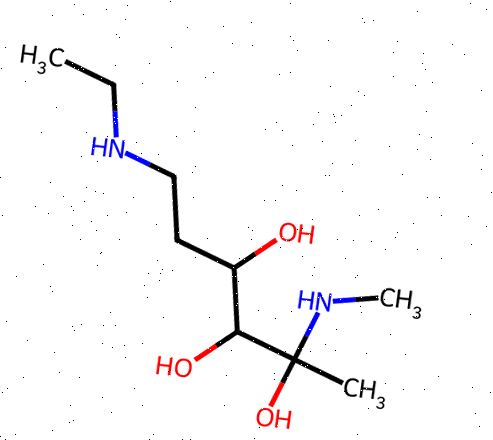 CCNCCC(O)C(O)C(C)(O)NC